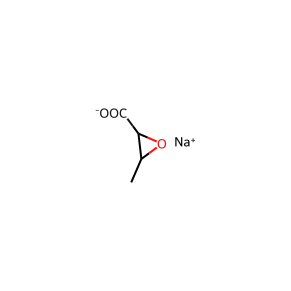 CC1OC1C(=O)[O-].[Na+]